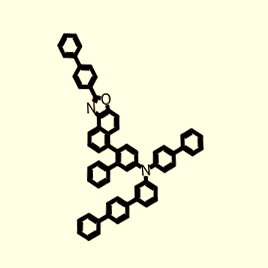 c1ccc(-c2ccc(-c3cccc(N(c4ccc(-c5ccccc5)cc4)c4ccc(-c5cccc6c5ccc5oc(-c7ccc(-c8ccccc8)cc7)nc56)c(-c5ccccc5)c4)c3)cc2)cc1